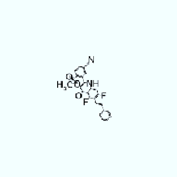 CS(=O)(=O)c1ccc(C#N)cc1-c1cc(=O)c2c(F)c(/C=C/c3ccccc3)c(F)cc2[nH]1